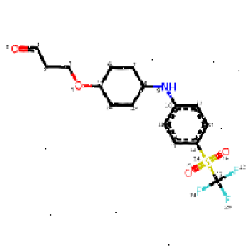 O=CCCOC1CCC(Nc2ccc(S(=O)(=O)C(F)(F)F)cc2)CC1